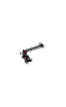 CC[C@H](C)C([C@@H](CC(=O)N1CCC[C@H]1[C@H](OC)[C@@H](C)C(=O)N[C@@H](Cc1ccccc1)C(=O)OC)OC)N(C)C(=O)[C@@H](NC(=O)[C@]1(C)CCCN1C(=O)CCOCCOCCOCCOCCOCCOCCN1C(=O)C=CC1=O)C(C)C